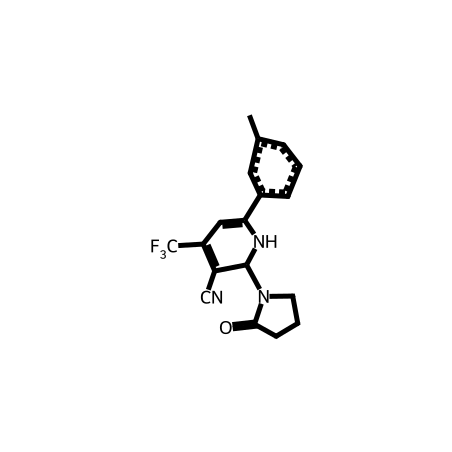 Cc1cccc(C2=CC(C(F)(F)F)=C(C#N)C(N3CCCC3=O)N2)c1